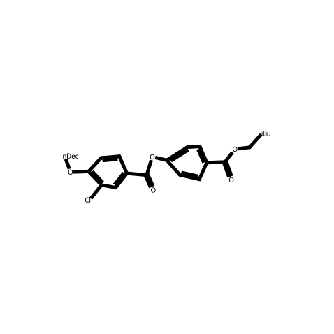 CCCCCCCCCCOc1ccc(C(=O)Oc2ccc(C(=O)OCC(C)CC)cc2)cc1Cl